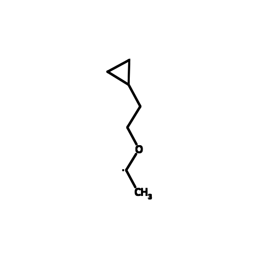 C[CH]OCCC1CC1